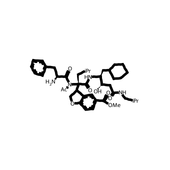 COC(=O)c1ccc2c(c1)C([C@@](CC(C)C)(C(=O)N[C@@H](CC1CCCCC1)[C@@H](O)CC(=O)NCC(C)C)N(C(C)=O)C(=O)[C@@H](N)Cc1ccccc1)CO2